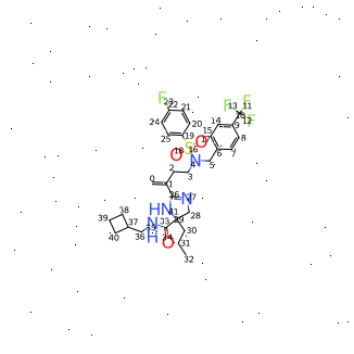 C=C(CCN(Cc1ccc(C(F)(F)F)cc1)S(=O)(=O)c1ccc(F)cc1)C1=NCC(CCC)(C(=O)NCC2CCC2)N1